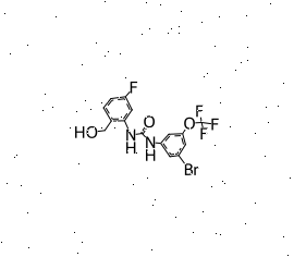 O=C(Nc1cc(Br)cc(OC(F)(F)F)c1)Nc1cc(F)ccc1CO